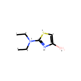 Bc1csc(N(CC)CC)n1